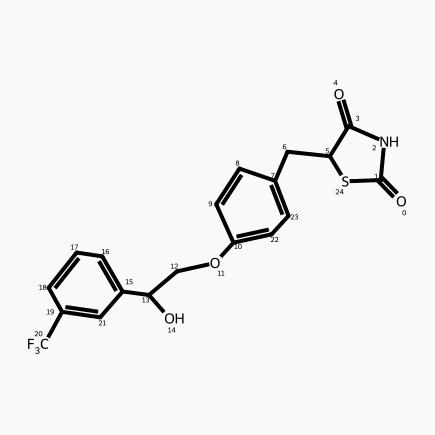 O=C1NC(=O)C(Cc2ccc(OCC(O)c3cccc(C(F)(F)F)c3)cc2)S1